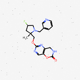 C[C@@]1(COc2ncc3c(n2)CNC(=O)O3)C[C@@H](F)CN1Cc1cccnc1